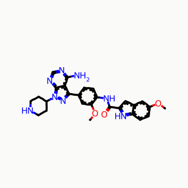 COc1ccc2[nH]c(C(=O)Nc3ccc(-c4nn(C5CCNCC5)c5ncnc(N)c45)cc3OC)cc2c1